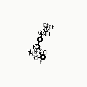 CCN1CC(NC(=O)c2ccc(-c3cnc(N)c(OC(C)c4c(Cl)ccc(F)c4Cl)c3)cc2)CN1CC